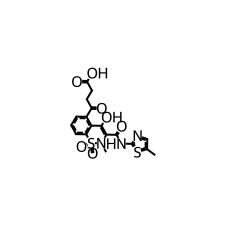 Cc1cnc(NC(=O)C2=C(O)c3c(C(=O)CCC(=O)O)cccc3S(=O)(=O)N2C)s1